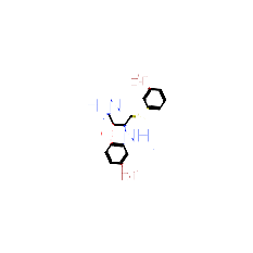 NCC(Oc1ccc(Br)cc1)C(N)CSc1cccc(Br)c1